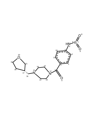 O=C(c1ccc(N[SH](=O)=O)cc1)N1CCN(C[C@@H]2CCOC2)CC1